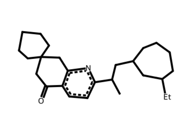 CCC1CCCCC(CC(C)c2ccc3c(n2)CC2(CCCCC2)CC3=O)C1